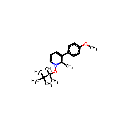 COc1ccc(C2=CC=CN(O[Si](C)(C)C(C)(C)C)C2C)cc1